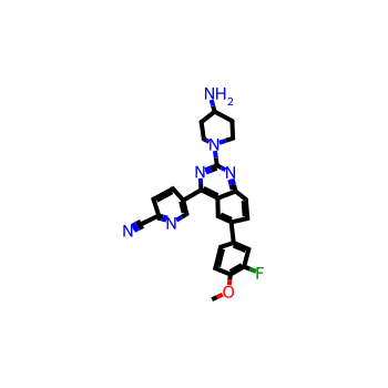 COc1ccc(-c2ccc3nc(N4CCC(N)CC4)nc(-c4ccc(C#N)nc4)c3c2)cc1F